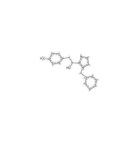 Cc1ccc(CC(O)c2nccn2Cc2ccccc2)cc1